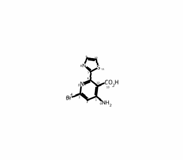 Nc1cc(Br)nc(-c2nccs2)c1C(=O)O